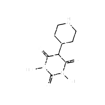 CN1C(=O)C(C2CCNCC2)C(=O)N(C)C1=O